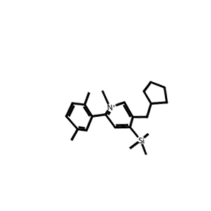 Cc1ccc(C)c(-c2cc([Si](C)(C)C)c(CC3CCCC3)c[n+]2C)c1